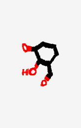 O=CC1=C(O)C(=O)C=CC1